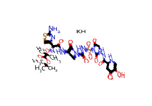 CC(C)(C)OC(=O)C(C)(C)ON=C(C(=O)NC1CN(C(=O)NS(=O)(=O)N2C(=O)CN(NC(=O)c3cc(=O)c(O)c[nH]3)C2=O)C1=O)c1csc(N)n1.[KH]